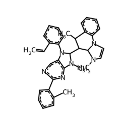 C=Cc1ccccc1N1c2cnc(-c3ccccc3C)nc2N(C)C1C1C(C)c2ccccc2N2C=CN(C)C12